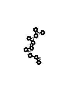 c1ccc(-n2c3ccccc3c3cc(-n4c5ccccc5c5c6oc7c(ccc8c7c7ccccc7n8-c7cccc(-c8ccc9sc%10ccccc%10c9c8)c7)c6ccc54)ccc32)cc1